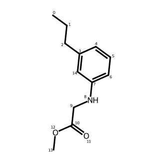 CCCc1cccc(NCC(=O)OC)c1